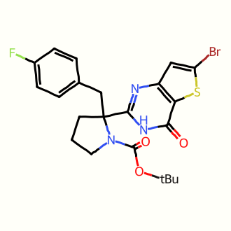 CC(C)(C)OC(=O)N1CCCC1(Cc1ccc(F)cc1)c1nc2cc(Br)sc2c(=O)[nH]1